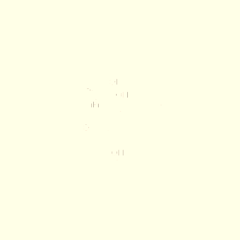 CC(C)O.CC(C)O.CCCC(=O)O